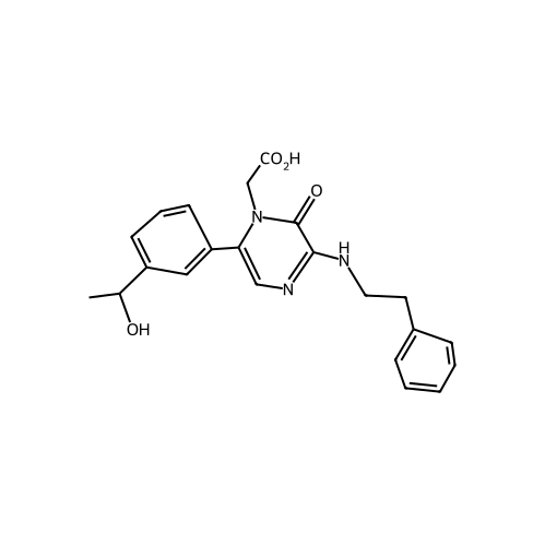 CC(O)c1cccc(-c2cnc(NCCc3ccccc3)c(=O)n2CC(=O)O)c1